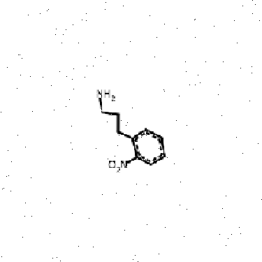 NCCCc1ccccc1[N+](=O)[O-]